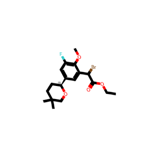 CCOC(=O)C(Br)c1cc([C@@H]2CCC(C)(C)CO2)cc(F)c1OC